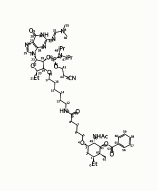 CC[C@H]1C[C@@H](OCCCCC(=O)NCCCCCCOC2[C@@H](CC)O[C@@H](n3cnc4c(=O)[nH]c(/N=C/N(C)C)nc43)[C@H]2OP(OCCC#N)N(C(C)C)C(C)C)[C@H](NC(C)=O)[C@@H](OC(=O)c2ccccc2)[C@H]1C